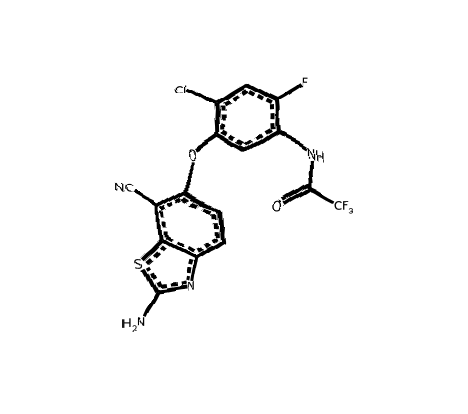 N#Cc1c(Oc2cc(NC(=O)C(F)(F)F)c(F)cc2Cl)ccc2nc(N)sc12